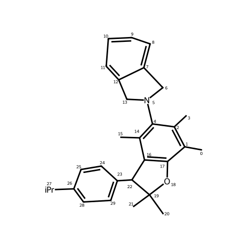 Cc1c(C)c(N2Cc3ccccc3C2)c(C)c2c1OC(C)(C)C2c1ccc(C(C)C)cc1